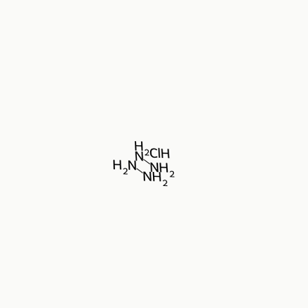 Cl.NN.NN